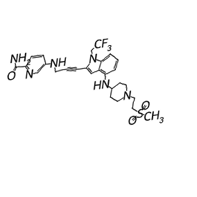 CS(=O)(=O)CCN1CCC(Nc2cccc3c2cc(C#CCNc2ccc(C(N)=O)nc2)n3CC(F)(F)F)CC1